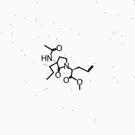 C=CC[C@@H](C(=O)OC)N1CC[C@](NC(C)=O)([C@@H](C)CC)C1=O